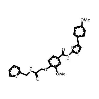 COc1ccc(-c2csc(NC(=O)c3ccc(OCC(=O)NCc4ccccn4)c(OC)c3)n2)cc1